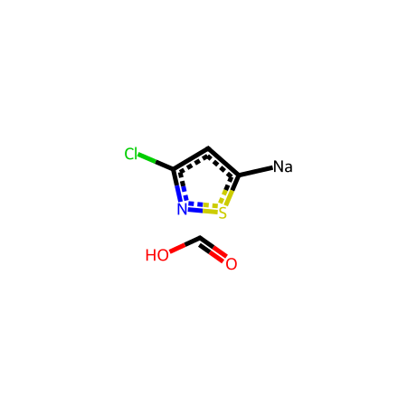 O=CO.[Na][c]1cc(Cl)ns1